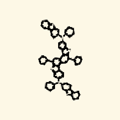 c1ccc(-c2cc3c(cc(-c4ccccc4)c4oc5cc(N(c6ccccc6)c6ccc7c(c6)sc6ccccc67)ccc5c43)c3c2oc2cc(N(c4ccccc4)c4ccc5c(c4)sc4ccccc45)ccc23)cc1